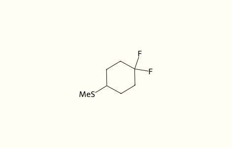 CSC1CCC(F)(F)CC1